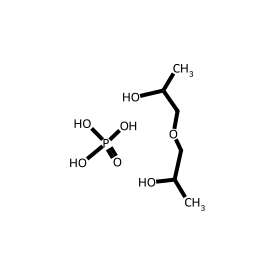 CC(O)COCC(C)O.O=P(O)(O)O